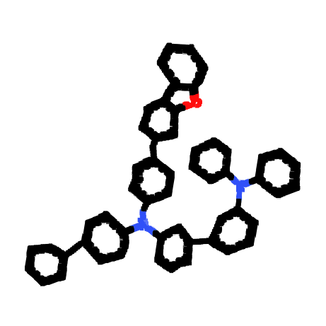 c1ccc(-c2ccc(N(c3ccc(-c4ccc5c(c4)oc4ccccc45)cc3)c3cccc(-c4cccc(N(c5ccccc5)c5ccccc5)c4)c3)cc2)cc1